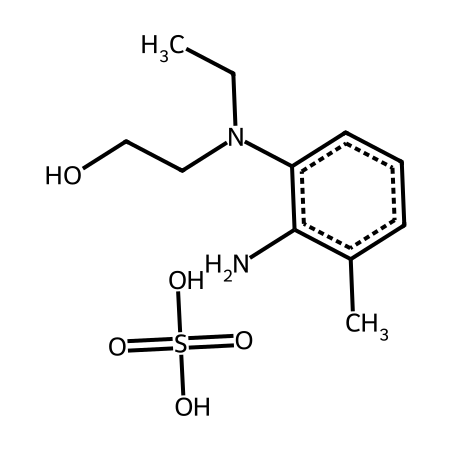 CCN(CCO)c1cccc(C)c1N.O=S(=O)(O)O